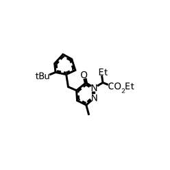 CCOC(=O)C(CC)n1nc(C)cc(Cc2ccccc2C(C)(C)C)c1=O